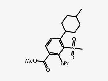 CCCc1c(C(=O)OC)ccc(C2CCC(C)CC2)c1S(C)(=O)=O